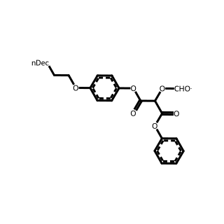 CCCCCCCCCCCCOc1ccc(OC(=O)C(O[C]=O)C(=O)Oc2ccccc2)cc1